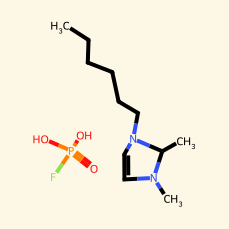 CCCCCCN1C=CN(C)C1C.O=P(O)(O)F